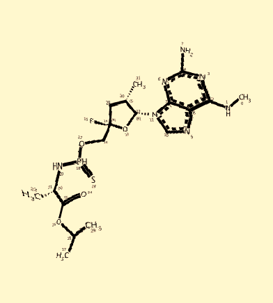 CNc1nc(N)nc2c1ncn2[C@@H]1O[C@](F)(CO[PH](=S)N[C@@H](C)C(=O)OC(C)C)C[C@@H]1C